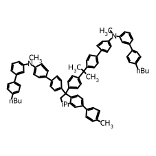 CCCCc1ccc(-c2cccc(N(C)c3ccc(-c4ccc(C(C)(C)c5ccc(C(CC(C)C)(c6ccc(-c7ccc(C)cc7)cc6)c6ccc(-c7ccc(N(C)c8cccc(-c9ccc(CCCC)cc9)c8)cc7)cc6)cc5)cc4)cc3)c2)cc1